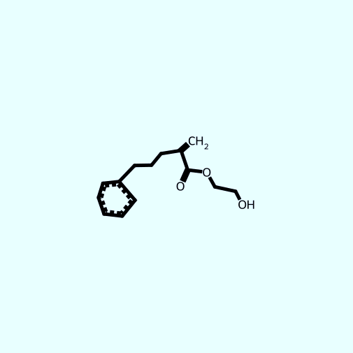 C=C(CCCc1ccccc1)C(=O)OCCO